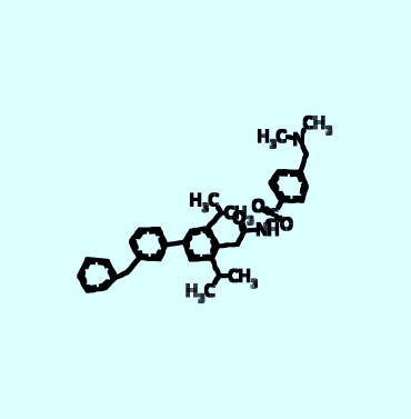 CC(C)c1cc(-c2cccc(Cc3ccccc3)c2)cc(C(C)C)c1CC(=O)NS(=O)(=O)c1ccc(CN(C)C)cc1